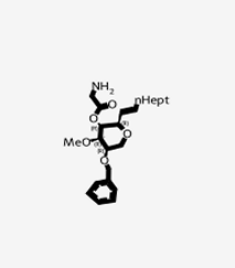 CCCCCCCC=C[C@H]1OC[C@@H](OCc2ccccc2)[C@@H](OC)[C@@H]1OC(=O)CN